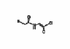 O=C(CF)N[C]=C(Cl)Cl